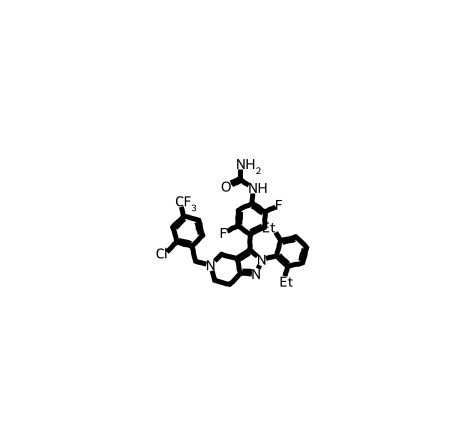 CCc1cccc(CC)c1-n1nc2c(c1-c1cc(F)c(NC(N)=O)cc1F)CN(Cc1ccc(C(F)(F)F)cc1Cl)CC2